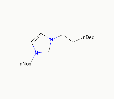 CCCCCCCCCCCCN1C=CN(CCCCCCCCC)C1